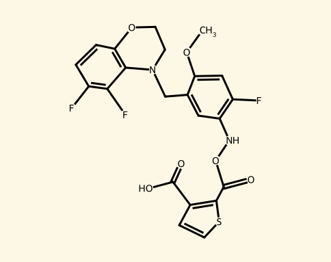 COc1cc(F)c(NOC(=O)c2sccc2C(=O)O)cc1CN1CCOc2ccc(F)c(F)c21